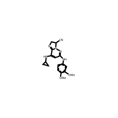 COc1ccc(NC2=NN3C(=NCC3C#N)C(NC3CC3)=C2)cc1OC